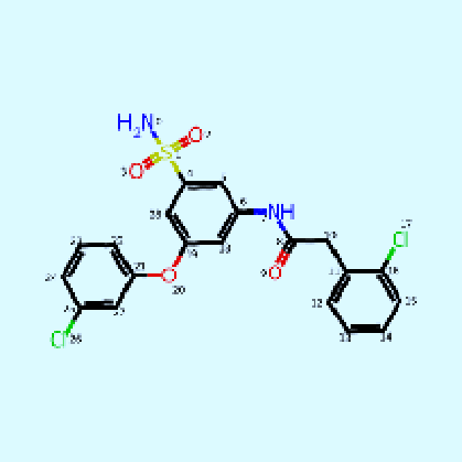 NS(=O)(=O)c1cc(NC(=O)Cc2ccccc2Cl)cc(Oc2cccc(Cl)c2)c1